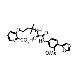 COc1cc(NC(=O)C(=O)NC(C)(C)CCOc2cccnc2C(=O)O)ccc1-c1cnco1